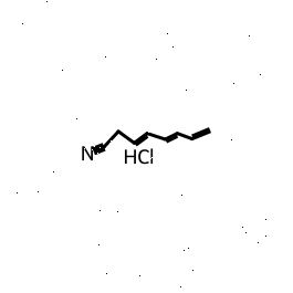 C=CC=CC=CCC#N.Cl